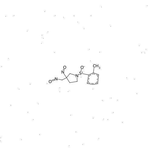 Cc1ccccc1[S+]([O-])N1CCC(CN=O)(N=O)C1